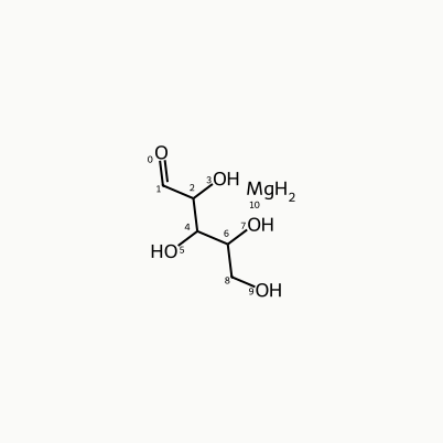 O=CC(O)C(O)C(O)CO.[MgH2]